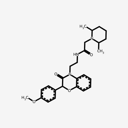 COc1ccc(C2Oc3ccccc3N(CCNC(=O)CN3C(C)CCCC3C)C2=O)cc1